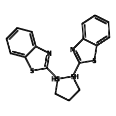 c1ccc2sc([SH]3CCC[SH]3c3nc4ccccc4s3)nc2c1